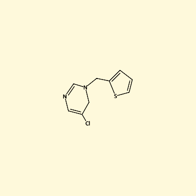 ClC1=CN=CN(Cc2cccs2)C1